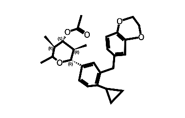 CC(=O)O[C@@H]1[C@@H](C)[C@H](c2ccc(C3CC3)c(Cc3ccc4c(c3)OCCO4)c2)OC(C)[C@H]1C